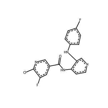 O=C(Nc1ccncc1Nc1ccc(F)cc1)c1cnc(Cl)c(F)c1